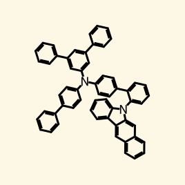 c1ccc(-c2ccc(N(c3ccc(-c4ccccc4-n4c5ccccc5c5cc6ccccc6cc54)cc3)c3cc(-c4ccccc4)cc(-c4ccccc4)c3)cc2)cc1